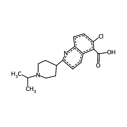 CC(C)N1CCC(c2ccc3c(C(=O)O)c(Cl)ccc3n2)CC1